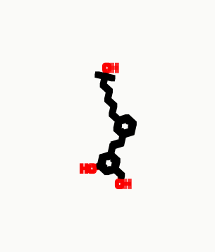 CC(C)(O)CCCCCc1cccc(C=Cc2cc(O)cc(CO)c2)c1